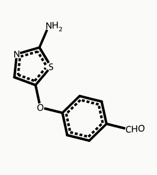 Nc1ncc(Oc2ccc(C=O)cc2)s1